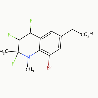 CN1c2c(Br)cc(CC(=O)O)cc2C(F)C(F)C1(C)F